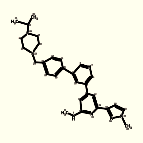 CNc1cc(-c2cncc(-c3ccc(CN4CCN(C(C)C)CC4)cc3)c2)cc(-c2ccn(C)n2)n1